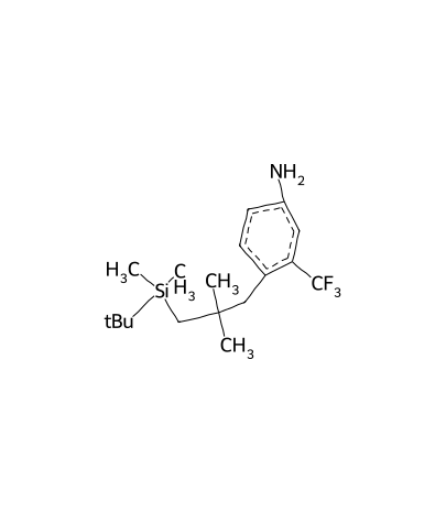 CC(C)(Cc1ccc(N)cc1C(F)(F)F)C[Si](C)(C)C(C)(C)C